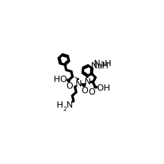 NCCCCN(C[C@@H](CCc1ccccc1)C(=O)O)C(=O)N1c2ccccc2CC1C(=O)O.[NaH].[NaH]